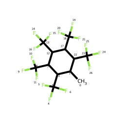 CC1C(C(F)(F)F)C(C(F)(F)F)C(C(F)(F)F)C(C(F)(F)F)C1C(F)(F)F